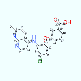 Cc1ccc2c(Nc3cc(Cl)ccc3Oc3cccc(C(=O)O)c3)ccnc2n1